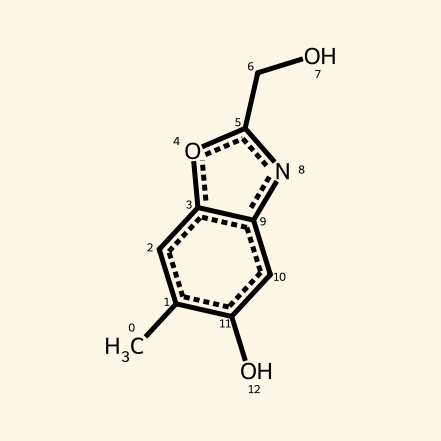 Cc1cc2oc(CO)nc2cc1O